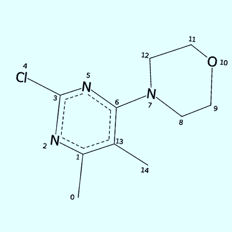 Cc1nc(Cl)nc(N2CCOCC2)c1C